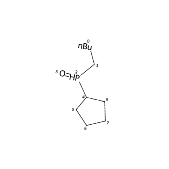 CCCCC[PH](=O)C1CCCC1